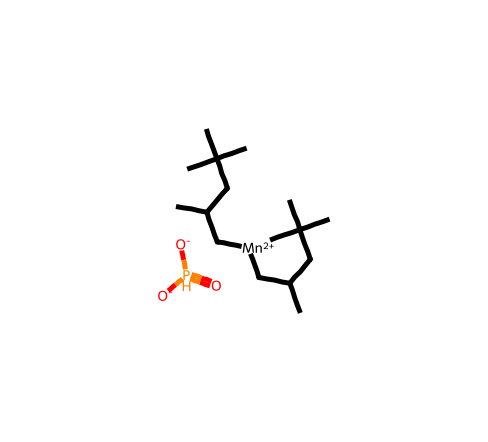 CC([CH2][Mn+2][CH2]C(C)CC(C)(C)C)CC(C)(C)C.O=[PH]([O-])[O-]